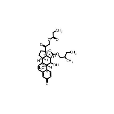 CCC(=O)OCC(=O)[C@@]1(OC(=O)OCC(C)CC)CC[C@H]2[C@@H]3CCC4=CC(=O)C=C[C@]4(C)[C@H]3C(O)C[C@@]21C